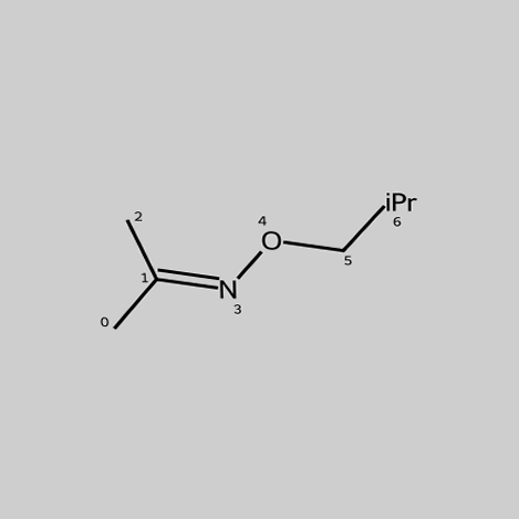 CC(C)=NOCC(C)C